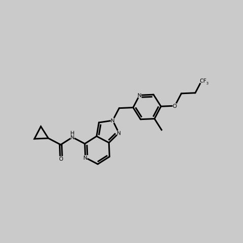 Cc1cc(Cn2cc3c(NC(=O)C4CC4)nccc3n2)ncc1OCCC(F)(F)F